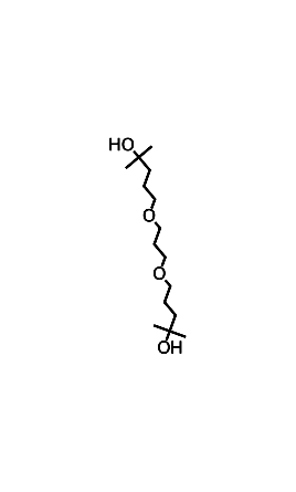 CC(C)(O)CCCOCCCOCCCC(C)(C)O